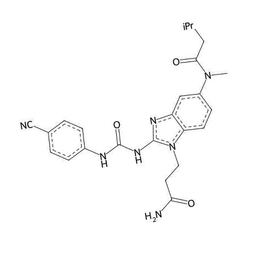 CC(C)CC(=O)N(C)c1ccc2c(c1)nc(NC(=O)Nc1ccc(C#N)cc1)n2CCC(N)=O